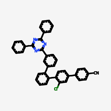 N#Cc1ccc(-c2ccc(-c3ccccc3-c3cccc(-c4nc(-c5ccccc5)nc(-c5ccccc5)n4)c3)c(Cl)c2)cc1